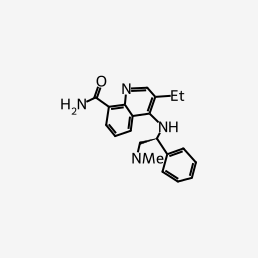 CCc1cnc2c(C(N)=O)cccc2c1N[C@H](CNC)c1ccccc1